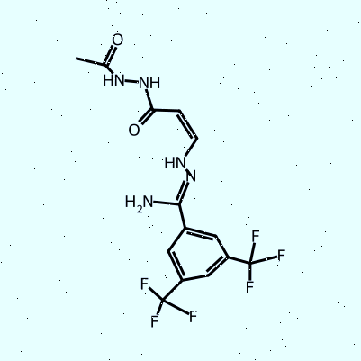 CC(=O)NNC(=O)/C=C\N/N=C(\N)c1cc(C(F)(F)F)cc(C(F)(F)F)c1